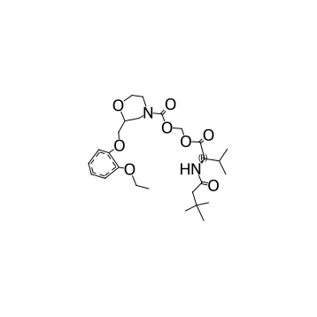 CCOc1ccccc1OCC1CN(C(=O)OCOC(=O)[C@H](NC(=O)CC(C)(C)C)C(C)C)CCO1